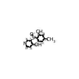 Cc1ccc([S+]([O-])c2cnccc2O)c(C)c1